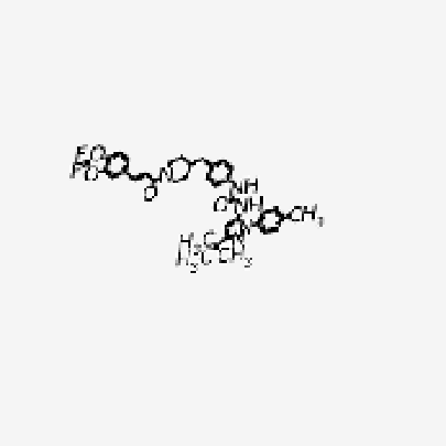 Cc1ccc(-n2nc(C(C)(C)C)cc2NC(=O)Nc2ccc(CC3CCN(C(=O)/C=C/c4ccc5c(c4)OC(F)(F)O5)CC3)cc2)cc1